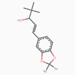 [2H]C1([2H])Oc2ccc(/C=C/C(O)C(C)(C)C)cc2O1